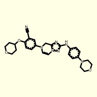 N#Cc1cc(N2C=Cn3nc(Nc4ccc(N5CCOCC5)cc4)nc3C2)ccc1OC1CCOCC1